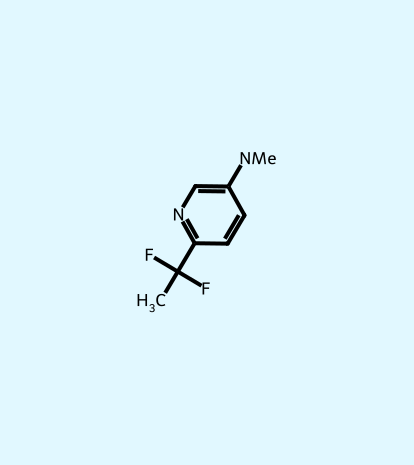 CNc1ccc(C(C)(F)F)nc1